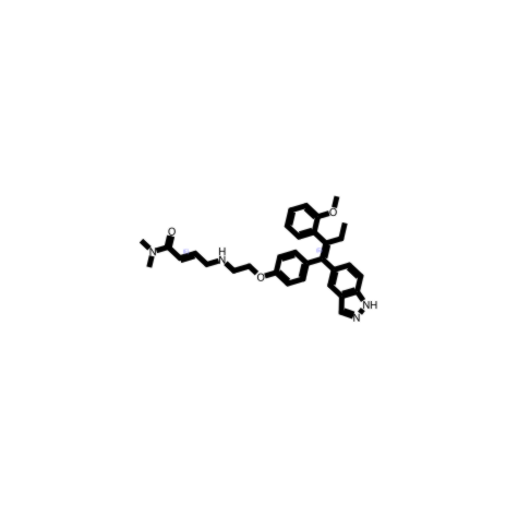 CC/C(=C(/c1ccc(OCCNC/C=C/C(=O)N(C)C)cc1)c1ccc2[nH]ncc2c1)c1ccccc1OC